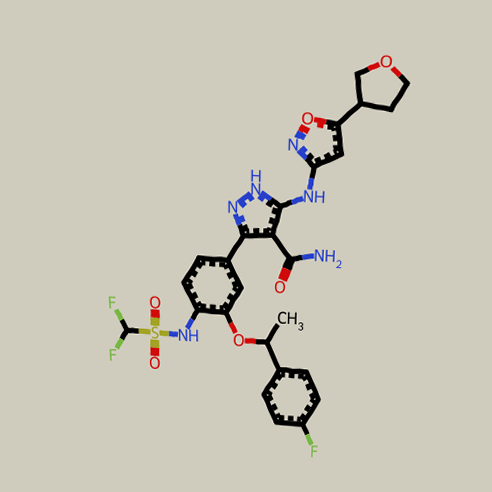 CC(Oc1cc(-c2n[nH]c(Nc3cc(C4CCOC4)on3)c2C(N)=O)ccc1NS(=O)(=O)C(F)F)c1ccc(F)cc1